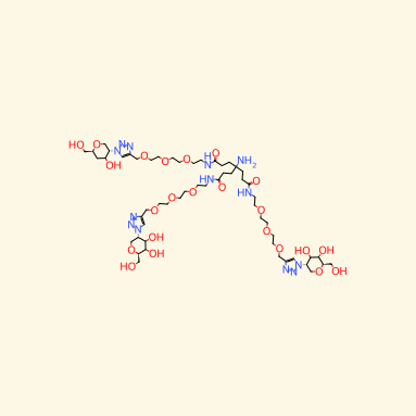 NC(CCC(=O)NCCOCCOCCOCc1cn([C@H]2CO[C@H](CO)[C@H](O)[C@@H]2O)nn1)(CCC(=O)NCCOCCOCCOCc1cn([C@H]2CO[C@H](CO)[C@H](O)[C@@H]2O)nn1)CCC(=O)NCCOCCOCCOCc1cn([C@H]2CO[C@H](CO)C[C@@H]2O)nn1